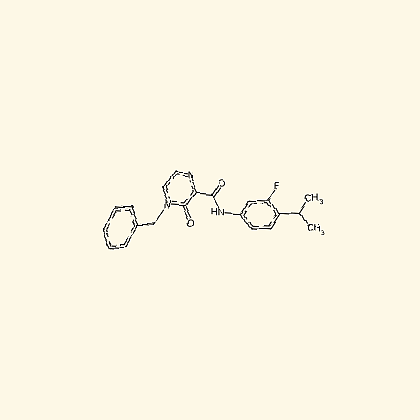 CC(C)c1ccc(NC(=O)c2nccn(Cc3ccccc3)c2=O)cc1F